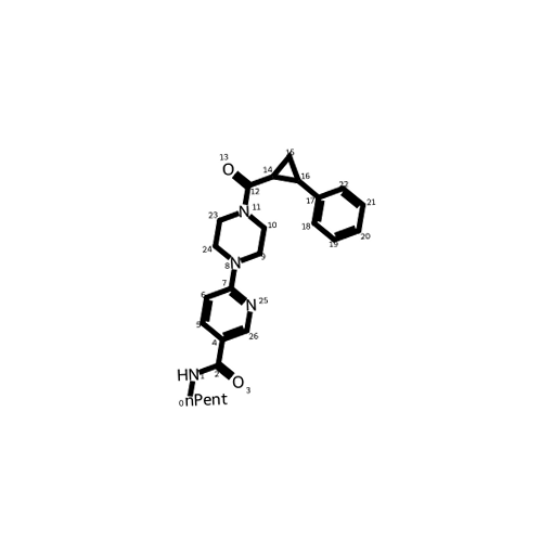 CCCCCNC(=O)c1ccc(N2CCN(C(=O)C3CC3c3ccccc3)CC2)nc1